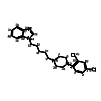 Clc1ccc(N2CCN(CCCCCn3cnc4ccccc43)CC2)c(Cl)c1